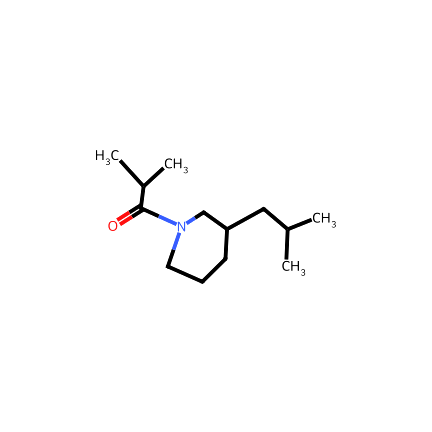 CC(C)CC1CCCN(C(=O)C(C)C)C1